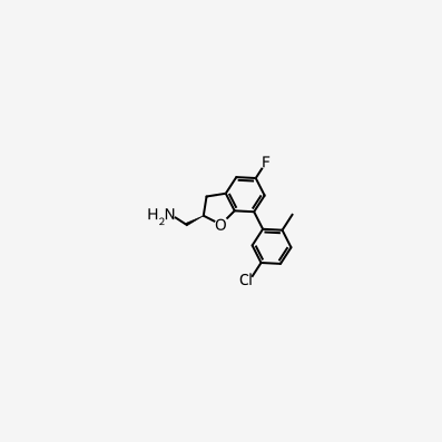 Cc1ccc(Cl)cc1-c1cc(F)cc2c1O[C@@H](CN)C2